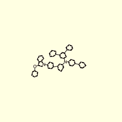 c1ccc(Oc2cn(-c3ccc(-c4cccc(N(c5ccc(-c6ccccc6)cc5)c5cc(-c6ccccc6)cc(-c6ccccc6)c5)c4)cc3)c3ccccc23)cc1